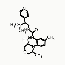 Cc1ccc(N2C(C)COCC2C)c(NC(=O)NCC(c2ccncc2)N(C)C)c1